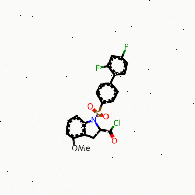 COc1cccc2c1CC(C(=O)Cl)N2S(=O)(=O)c1ccc(-c2ccc(F)cc2F)cc1